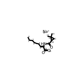 CCCCC/C=C(\NC(=O)C1CC1(C)C)C(=O)[O-].[Na+]